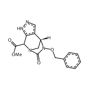 COC(=O)C1c2[nH]ncc2[C@H]2CN1C(=O)N2OCc1ccccc1